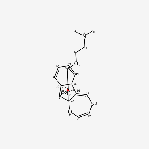 CN(C)CCOCC1=CC2=C3C=CC=CC3C3=CSC=COC32C=N1